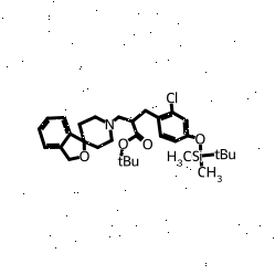 CC(C)(C)OC(=O)C(Cc1ccc(O[Si](C)(C)C(C)(C)C)cc1Cl)CN1CCC2(CC1)OCc1ccccc12